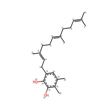 CC(C)=CCC/C(C)=C/CC/C(C)=C/Cc1cc(C)c(C)c(O)c1O